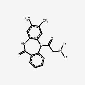 CCN(CC)CC(=O)N1c2cc(C(F)(F)F)c(C(F)(F)F)cc2NC(=S)c2cccnc21